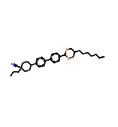 CCCCCCCC1CSC(c2ccc(-c3ccc(C4CCC(C#N)(CCC)CC4)cc3)cc2)SC1